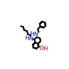 CCCCCCNC1c2cccc(O)c2CCC1NCCc1ccccc1